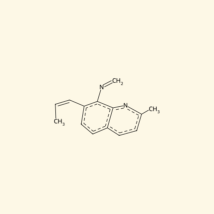 C=Nc1c(/C=C\C)ccc2ccc(C)nc12